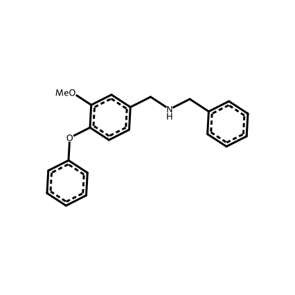 COc1cc(CNCc2ccccc2)ccc1Oc1ccccc1